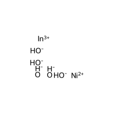 [In+3].[Ni+2].[OH-].[OH-].[OH-].[OH-].[OH-]